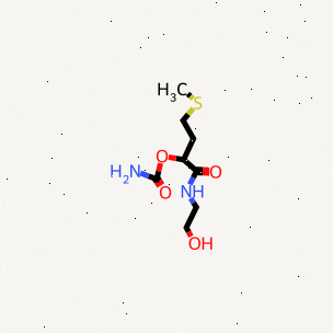 CSCCC(OC(N)=O)C(=O)NCCO